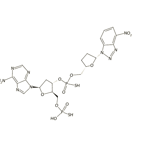 Nc1ncnc2c1ncn2[C@H]1C[C@H](OP(=O)(S)OC[C@@H]2CC[C@H](n3nnc4c([N+](=O)[O-])cccc43)O2)[C@@H](COP(=O)(O)S)O1